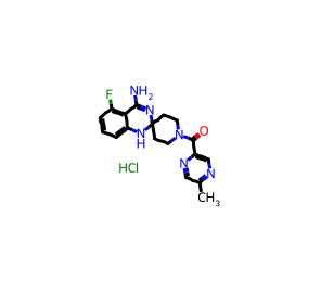 Cc1cnc(C(=O)N2CCC3(CC2)N=C(N)c2c(F)cccc2N3)cn1.Cl